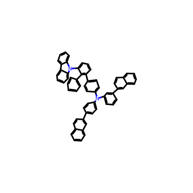 c1ccc(-c2c(-c3ccc(N(c4ccc(-c5ccc6ccccc6c5)cc4)c4cccc(-c5ccc6ccccc6c5)c4)cc3)cccc2-n2c3ccccc3c3ccccc32)cc1